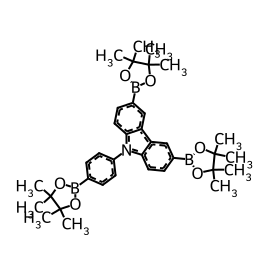 CC1(C)OB(c2ccc(-n3c4ccc(B5OC(C)(C)C(C)(C)O5)cc4c4cc(B5OC(C)(C)C(C)(C)O5)ccc43)cc2)OC1(C)C